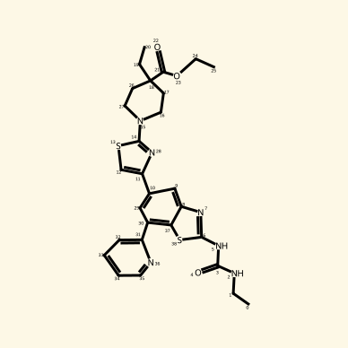 CCNC(=O)Nc1nc2cc(-c3csc(N4CCC(CC)(C(=O)OCC)CC4)n3)cc(-c3ccccn3)c2s1